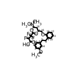 COc1cccc(CCc2ccccc2OCC(CCN(C)C)OC(=O)C(F)(F)C(F)C(=O)O)c1